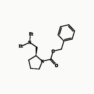 CCN(CC)C[C@@H]1CCCN1C(=O)OCc1ccccc1